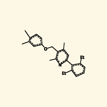 CCc1cccc(CC)c1-c1cc(C)c(COc2ccc(C)c(C)c2)c(C)n1